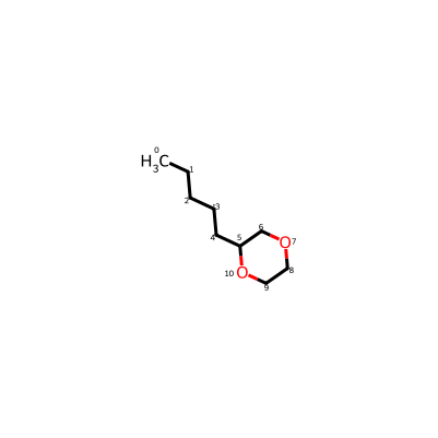 CCC[CH]CC1COCCO1